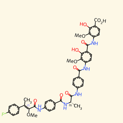 CO/C(C(=O)Nc1ccc(C(=O)N[C@@H](C)C(=O)Nc2ccc(C(=O)Nc3ccc(C(=O)Nc4ccc(C(=O)O)c(O)c4OC)c(O)c3OC)cc2)cc1)=C(/C)c1ccc(F)cc1